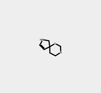 C1=CC2(CC[N]CS2)CN1